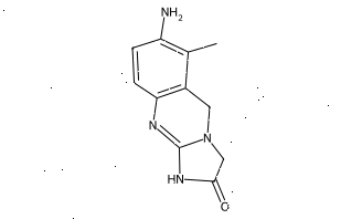 Cc1c(N)ccc2c1CN1CC(=O)NC1=N2